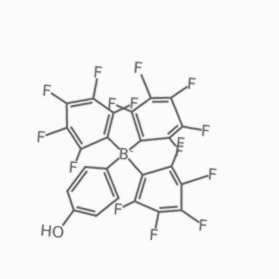 Oc1ccc([B-](c2c(F)c(F)c(F)c(F)c2F)(c2c(F)c(F)c(F)c(F)c2F)c2c(F)c(F)c(F)c(F)c2F)cc1